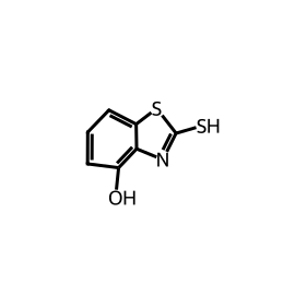 Oc1cccc2sc(S)nc12